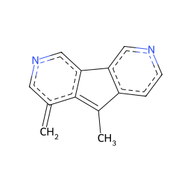 C=c1cncc2c1=C(C)c1ccncc1-2